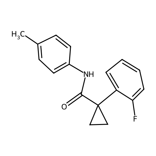 Cc1ccc(NC(=O)C2(c3ccccc3F)CC2)cc1